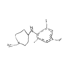 CN1CCC(Nc2c(F)cc(F)cc2F)CC1